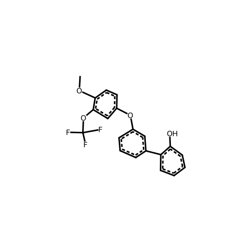 COc1ccc(Oc2cccc(-c3ccccc3O)c2)cc1OC(F)(F)F